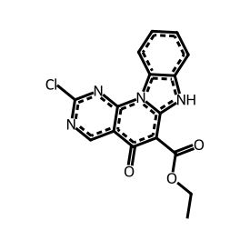 CCOC(=O)c1c(=O)c2cnc(Cl)nc2n2c1[nH]c1ccccc12